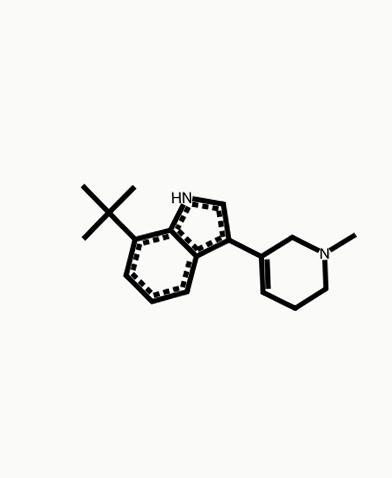 CN1CCC=C(c2c[nH]c3c(C(C)(C)C)cccc23)C1